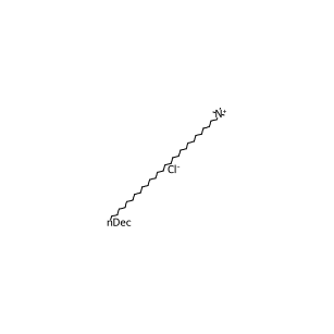 CCCCCCCCCCCCCCCCCCCCCCCCCCCCCCCCCCCCCC[N+](C)(C)C.[Cl-]